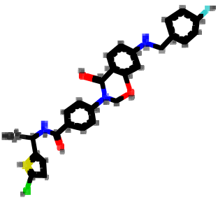 O=C(NC(C(=O)O)c1ccc(Cl)s1)c1ccc(N2COc3cc(NCc4ccc(F)cc4)ccc3C2=O)cc1